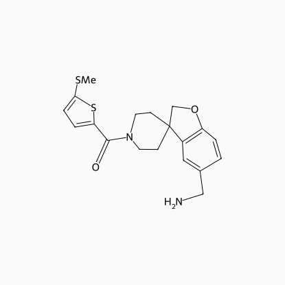 CSc1ccc(C(=O)N2CCC3(CC2)COc2ccc(CN)cc23)s1